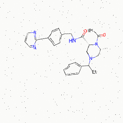 CCC(c1ccccc1)N1C[C@@H](C)N(C(=O)C(C)C)[C@@H](C(=O)NCc2ccc(-c3ncccn3)cc2)C1